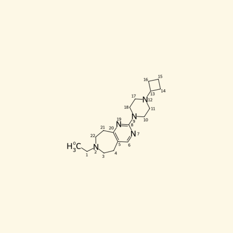 CCN1CCc2cnc(N3CCN(C4CCC4)CC3)nc2CC1